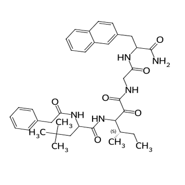 CC[C@H](C)C(NC(=O)C(CC(C)(C)C)NC(=O)Cc1ccccc1)C(=O)C(=O)NCC(=O)NC(Cc1ccc2ccccc2c1)C(N)=O